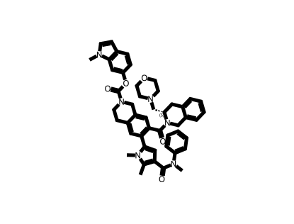 Cc1c(C(=O)N(C)c2ccccc2)cc(-c2cc3c(cc2C(=O)N2Cc4ccccc4C[C@H]2CN2CCOCC2)CN(C(=O)Oc2ccc4ccn(C)c4c2)CC3)n1C